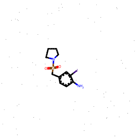 Nc1ccc(CS(=O)(=O)N2CCCC2)cc1I